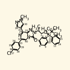 C[C@@H](CO[Si](c1ccccc1)(c1ccccc1)C(C)(C)C)n1nc2c(-c3cnn(C)c3)nc(-c3ccc(Cl)cc3)cn2c1=O